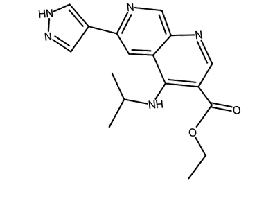 CCOC(=O)c1cnc2cnc(-c3cn[nH]c3)cc2c1NC(C)C